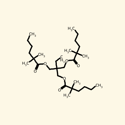 CCCCC(C)(C)C(=O)OCC(CC)(COC(=O)C(C)(C)CCCC)COC(=O)C(C)(C)CCCC